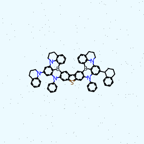 c1ccc(N2c3cc4sc5cc6c(cc5c4cc3B3c4cccc5c4N(CCC5)c4cc(C5CCCc7ccccc75)cc2c43)B2c3cccc4c3N(CCC4)c3cc(N4CCCc5ccccc54)cc(c32)N6c2ccccc2)cc1